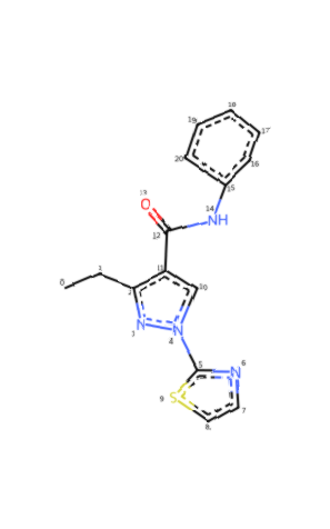 CCc1nn(-c2nccs2)cc1C(=O)Nc1ccccc1